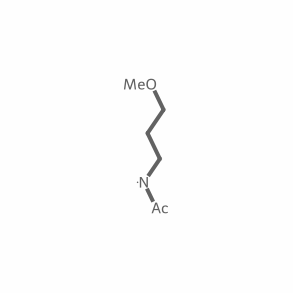 COCCC[N]C(C)=O